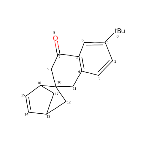 CC(C)(C)c1ccc2c(c1)C(=O)CC1(C2)CC2C=CC1C2